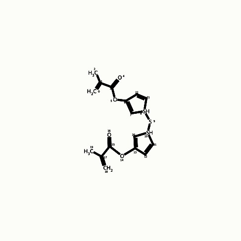 C=C(C)C(=O)OC1=C[SH](S[SH]2C=CC(OC(=O)C(=C)C)=C2)C=C1